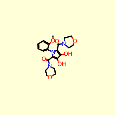 COc1ccccc1-n1c(C(=O)N2CCOCC2)c(O)c(O)c1C(=O)N1CCOCC1